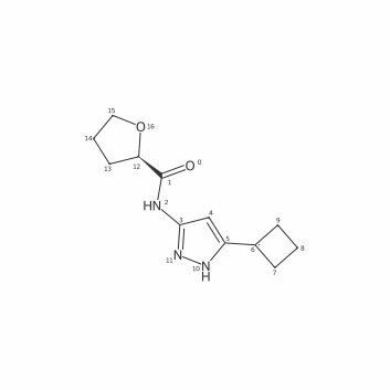 O=C(Nc1cc([C]2CCC2)[nH]n1)[C@H]1CCCO1